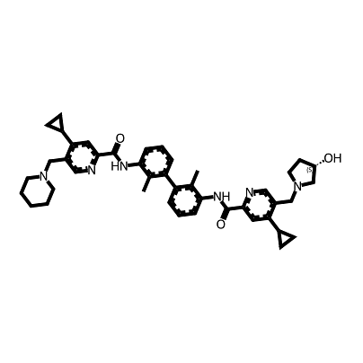 Cc1c(NC(=O)c2cc(C3CC3)c(CN3CCCCC3)cn2)cccc1-c1cccc(NC(=O)c2cc(C3CC3)c(CN3CC[C@H](O)C3)cn2)c1C